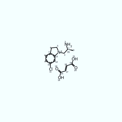 C[C@H](N)CN1CCc2ccc(Cl)cc21.O=C(O)C=CC(=O)O